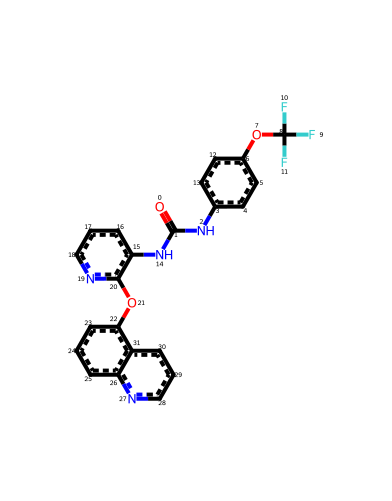 O=C(Nc1ccc(OC(F)(F)F)cc1)Nc1cccnc1Oc1cccc2ncccc12